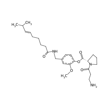 COc1cc(CNC(=O)CCCC/C=C/C(C)C)ccc1OC(=O)[C@@H]1CCCN1C(=O)CCN